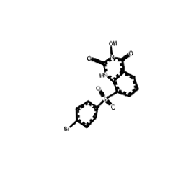 O=c1[nH]c2c(S(=O)(=O)c3ccc(Br)cc3)cccc2c(=O)n1O